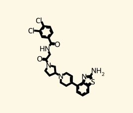 Nc1nc2c(C3=CCN(C4CCN(C(=O)CNC(=O)c5ccc(Cl)c(Cl)c5)C4)CC3)cccc2s1